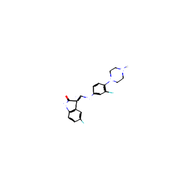 CC(C)N1CCN(c2ccc(N/C=C3/C(=O)Nc4ccc(F)cc43)cc2F)CC1